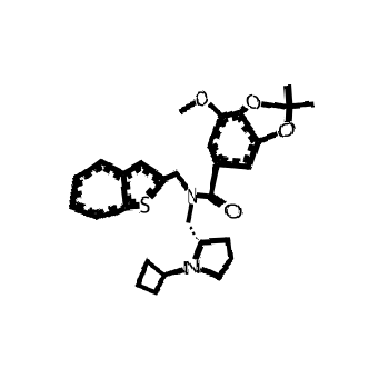 COc1cc(C(=O)N(Cc2cc3ccccc3s2)C[C@@H]2CCCN2C2CCC2)cc2c1OC(C)(C)O2